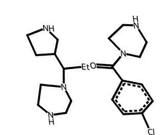 CCC(C1CCNC1)N1CCNCC1.O=C(c1ccc(Cl)cc1)N1CCNCC1